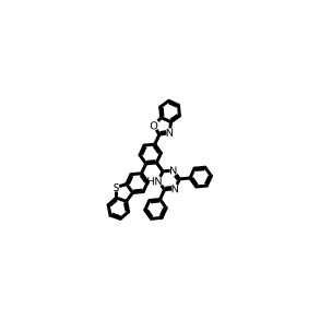 c1ccc(C2=NC(c3cc(-c4nc5ccccc5o4)ccc3-c3ccc4c(c3)sc3ccccc34)NC(c3ccccc3)=N2)cc1